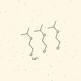 CC(C)OCC[O-].CC(C)OCC[O-].CC(C)OCC[O-].[La+3]